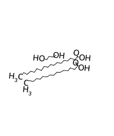 CCCCCCCCCCCCCCCC(=O)O.CCCCCCCCCCCCCCCCCC(=O)O.OCCCO